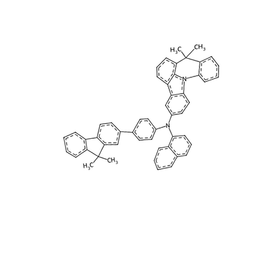 CC1(C)c2ccccc2-c2ccc(-c3ccc(N(c4ccc5c(c4)c4cccc6c4n5-c4ccccc4C6(C)C)c4cccc5ccccc45)cc3)cc21